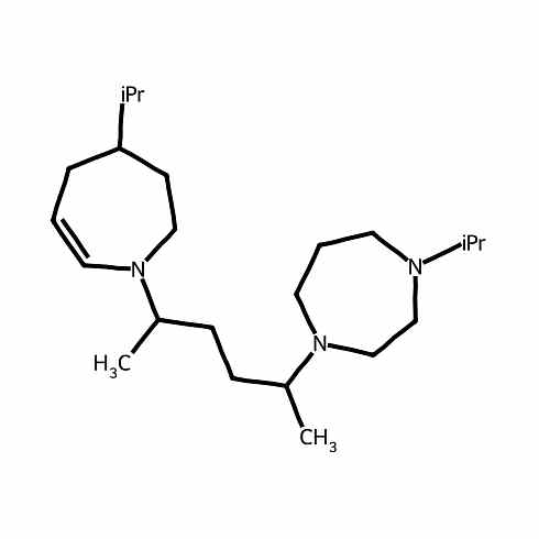 CC(C)C1CC=CN(C(C)CCC(C)N2CCCN(C(C)C)CC2)CC1